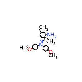 CCC1=CC(N)C(C=NN(c2ccc(OC)cc2)c2ccc(OC)cc2)(CC)C=C1